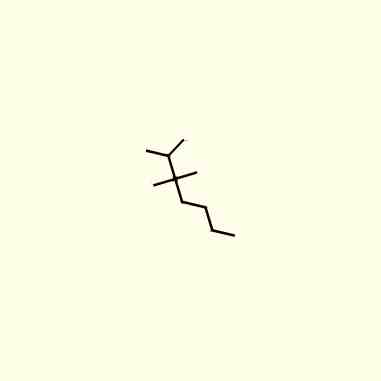 CCCCC(C)(C)C(C)C